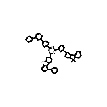 CC1(C)c2ccccc2-c2cc(-c3cccc(-c4nc(-c5ccc(-c6cccc(-c7ccccc7)c6)cc5)nc(-c5ccc6c(c5)oc5cccc(-c7ccccc7)c56)n4)c3)ccc21